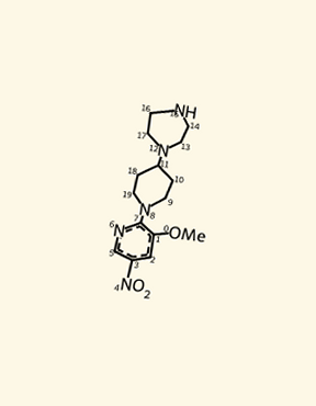 COc1cc([N+](=O)[O-])cnc1N1CCC(N2CCNCC2)CC1